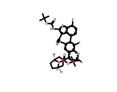 CC(C)(C)OC(=O)Nc1sc2c(F)ccc(-c3c(Cl)cc4c(N5C[C@H]6CC[C@@H](C5)N6C(=O)OC(C)(C)C)nc(F)nc4c3F)c2c1C#N